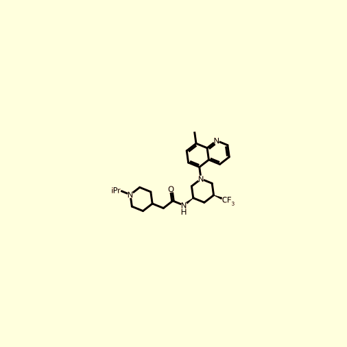 Cc1ccc(N2C[C@H](NC(=O)CC3CCN(C(C)C)CC3)C[C@H](C(F)(F)F)C2)c2cccnc12